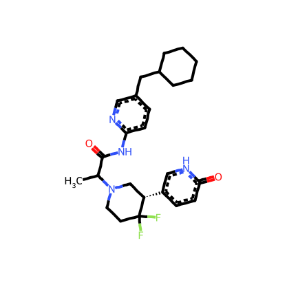 CC(C(=O)Nc1ccc(CC2CCCCC2)cn1)N1CCC(F)(F)[C@@H](c2ccc(=O)[nH]c2)C1